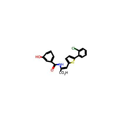 O=C(O)/C(=C/c1ccc(-c2ccccc2Cl)s1)NC(=O)c1cccc(O)c1